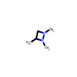 CC1CN(C)N1C